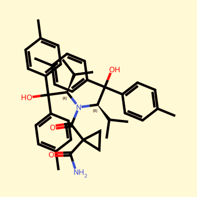 Cc1ccc(C(O)(c2ccc(C)cc2)[C@@H](C(C)C)N(C(=O)C2(C(N)=O)CC2)[C@H](C(C)C)C(O)(c2ccc(C)cc2)c2ccc(C)cc2)cc1